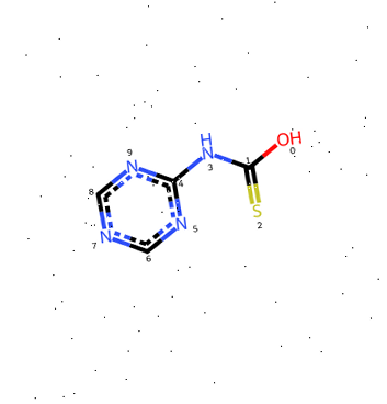 OC(=S)Nc1ncncn1